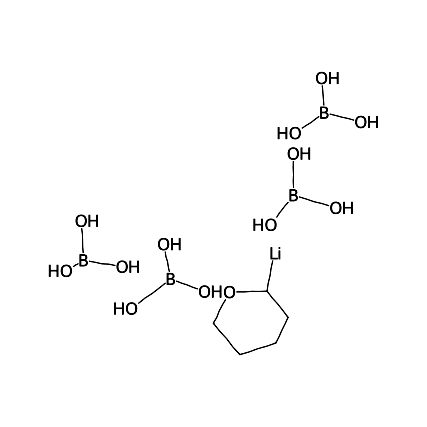 OB(O)O.OB(O)O.OB(O)O.OB(O)O.[Li][CH]1CCCCO1